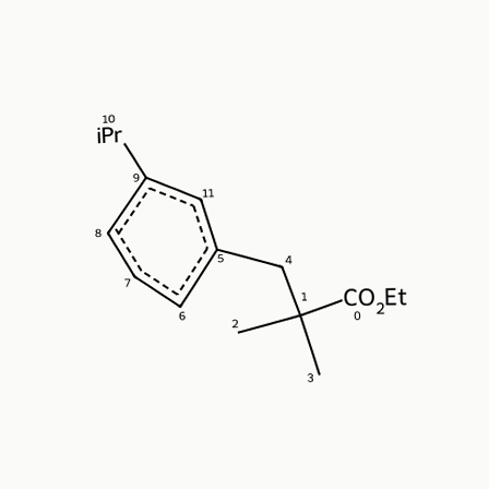 CCOC(=O)C(C)(C)Cc1cccc(C(C)C)c1